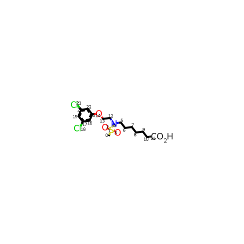 CS(=O)(=O)N(CCCCCCC(=O)O)CCOc1cc(Cl)cc(Cl)c1